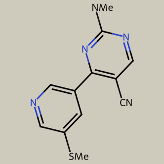 CNc1ncc(C#N)c(-c2cncc(SC)c2)n1